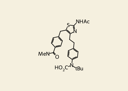 CNC(=O)c1ccc(Cc2sc(NC(C)=O)nc2CCc2ccc(N(C(=O)O)C(C)(C)C)cc2)cc1